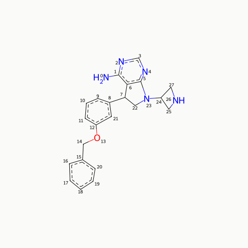 Nc1ncnc2c1C(c1cccc(OCc3ccccc3)c1)CN2C1CNC1